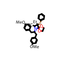 CCC1(Sc2ccccc2)C(C=O)N(C(Cc2ccc(OC)cc2)Cc2ccc(OC)cc2)C12OCCO2